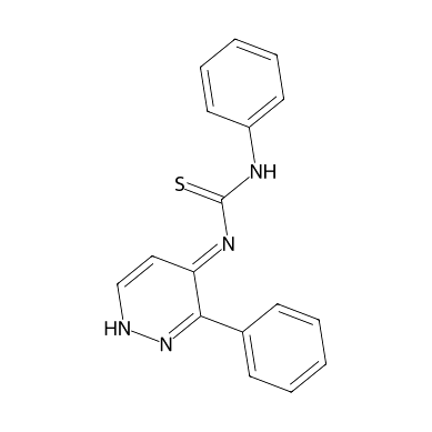 S=C(N=c1cc[nH]nc1-c1ccccc1)Nc1ccccc1